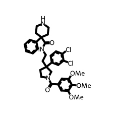 COc1cc(C(=O)N2CCC(CCNC(=O)C3(c4ccccc4)CCNCC3)(c3ccc(Cl)c(Cl)c3)C2)cc(OC)c1OC